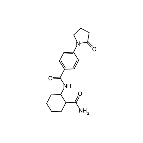 NC(=O)C1CCCCC1NC(=O)c1ccc(N2CCCC2=O)cc1